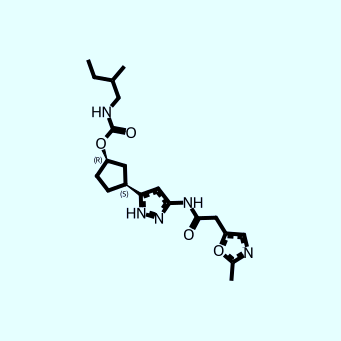 CCC(C)CNC(=O)O[C@@H]1CC[C@H](c2cc(NC(=O)Cc3cnc(C)o3)n[nH]2)C1